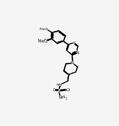 COc1ccc(-c2cc(N3CCC(CNS(N)(=O)=O)CC3)ncn2)cc1OC